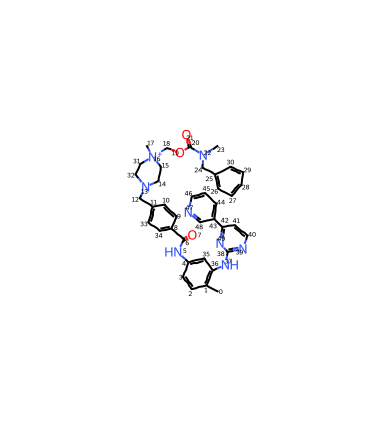 Cc1ccc(NC(=O)c2ccc(CN3CC[N+](C)(COC(=O)N(C)Cc4ccccc4)CC3)cc2)cc1Nc1nccc(-c2cccnc2)n1